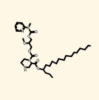 CCCCCCCCCCCCCCC(CCC)OC(=O)C1CNCCN1C(=O)OCC(COC(=O)N(C)c1ccccn1)OC